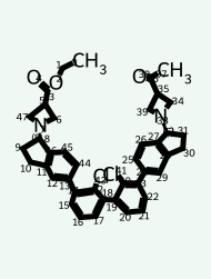 CCOC(=O)C1CN([C@H]2CCc3cc(-c4cccc(-c5cccc(-c6ccc7c(c6)CC[C@@H]7N6CC(C(C)=O)C6)c5Cl)c4Cl)ccc32)C1